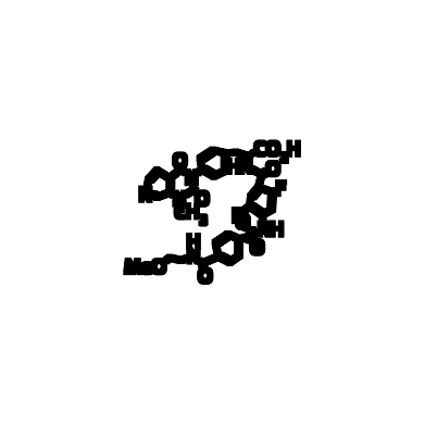 COCCNC(=O)c1ccc(S(=O)(=O)Nc2cc(F)c(C(=O)N[C@@H](Cc3ccc(-n4c(=O)c5ccncc5n(C)c4=O)cc3)C(=O)O)cc2F)cc1